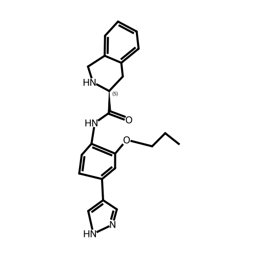 CCCOc1cc(-c2cn[nH]c2)ccc1NC(=O)[C@@H]1Cc2ccccc2CN1